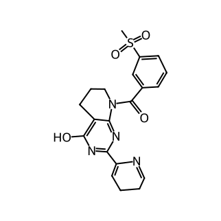 CS(=O)(=O)c1cccc(C(=O)N2CCCc3c(O)nc(C4=CCCC=N4)nc32)c1